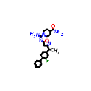 CC(c1ccc(-c2ccccc2)c(F)c1)c1cc(/N=C(/N)N2CCC(C(N)=O)CC2)on1